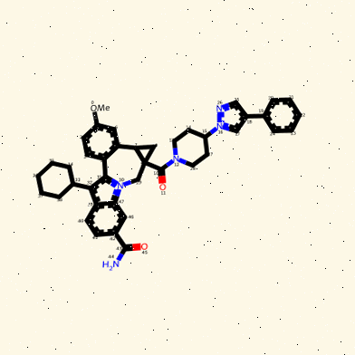 COc1ccc2c(c1)C1CC1(C(=O)N1CCC(n3cc(-c4ccccc4)cn3)CC1)Cn1c-2c(C2CCCCC2)c2ccc(C(N)=O)cc21